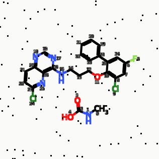 CNC(=O)O.Fc1cc(Cl)c(OCCCNc2ncnc3ccc(Cl)nc23)c(-c2ccccc2)c1